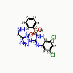 NCc1nnn(C(=Nc2cc(Cl)cc(Cl)c2)NS(=O)(=O)c2ccccc2)n1